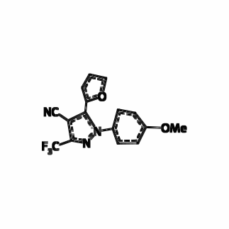 COc1ccc(-n2nc(C(F)(F)F)c(C#N)c2-c2ccco2)cc1